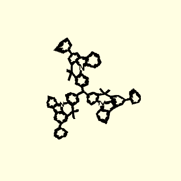 CC1(C)c2cc(C(c3ccc4c(c3)C(C)(C)c3cc(-c5ccccc5)cc5c6ccccc6n-4c35)c3ccc4c(c3)C(C)(C)c3cc(-c5ccccc5)cc5c6ccccc6n-4c35)ccc2-n2c3ccccc3c3cc(-c4ccccc4)cc1c32